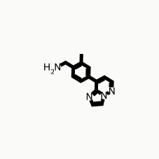 Cc1cc(-c2ccnn3ccnc23)ccc1CN